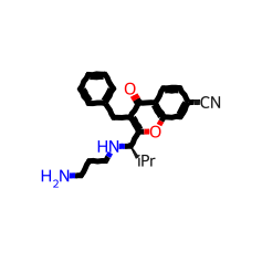 CC(C)[C@@H](NCCCN)c1oc2cc(C#N)ccc2c(=O)c1Cc1ccccc1